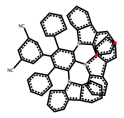 N#Cc1cc(C#N)cc(-c2c(-c3ccccc3)c(-n3c4ccccc4c4ccccc43)c(-n3c4ccccc4c4ccccc43)c(-n3c4ccccc4c4ccccc43)c2-c2ccccc2)c1